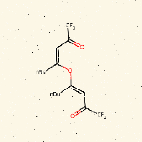 CCCCC(=CC(=O)C(F)(F)F)OC(=CC(=O)C(F)(F)F)CCCC